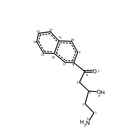 NCCC(O)CC(=O)c1ccc2ccccc2c1